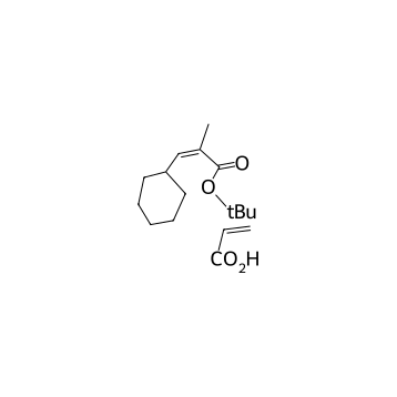 C=CC(=O)O.CC(=CC1CCCCC1)C(=O)OC(C)(C)C